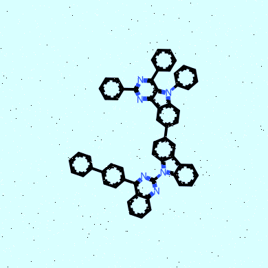 c1ccc(-c2ccc(-c3nc(-n4c5ccccc5c5cc(-c6ccc7c(c6)c6nc(-c8ccccc8)nc(-c8ccccc8)c6n7-c6ccccc6)ccc54)nc4ccccc34)cc2)cc1